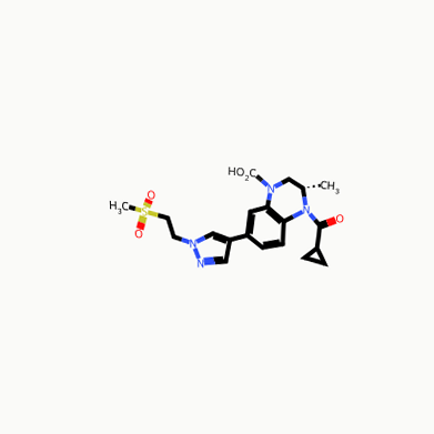 C[C@H]1CN(C(=O)O)c2cc(-c3cnn(CCS(C)(=O)=O)c3)ccc2N1C(=O)C1CC1